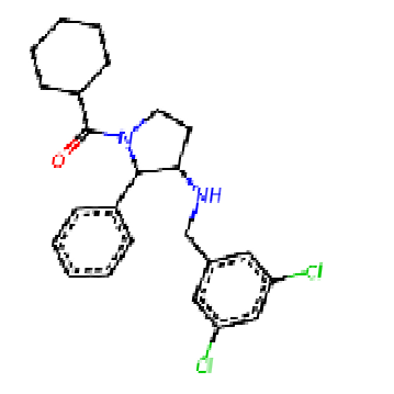 O=C(C1CCCCC1)N1CCC(NCc2cc(Cl)cc(Cl)c2)C1c1ccccc1